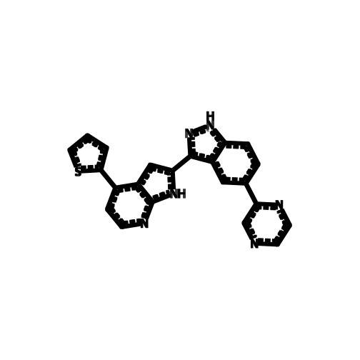 c1csc(-c2ccnc3[nH]c(-c4n[nH]c5ccc(-c6cnccn6)cc45)cc23)c1